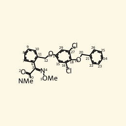 CNC(=O)C(=NOC)c1ccccc1COc1cc(Cl)c(OCc2ccccc2)c(Cl)c1